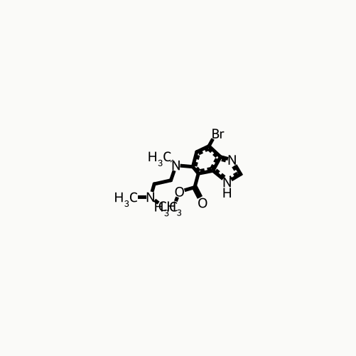 COC(=O)c1c(N(C)CCN(C)C)cc(Br)c2nc[nH]c12